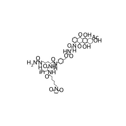 CC(=O)[C@@]1(O)CCc2c(O)c3c(c(O)c2C1)C(=O)c1cccc(NC(=O)CNC(=O)OCc2ccc(NC(=O)[C@H](CCCNC(N)=O)NC(=O)[C@@H](NC(=O)CCCCCN4C(=O)C=CC4=O)C(C)C)cc2)c1C3=O